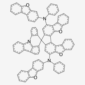 c1ccc(N(c2ccc3c(c2)oc2ccccc23)c2cc3c(c4c2oc2ccccc24)-c2c(cc(N(c4ccccc4)c4ccc5c(c4)oc4ccccc45)c4c2oc2ccccc24)C32c3ccccc3-n3c4ccccc4c4cccc2c43)cc1